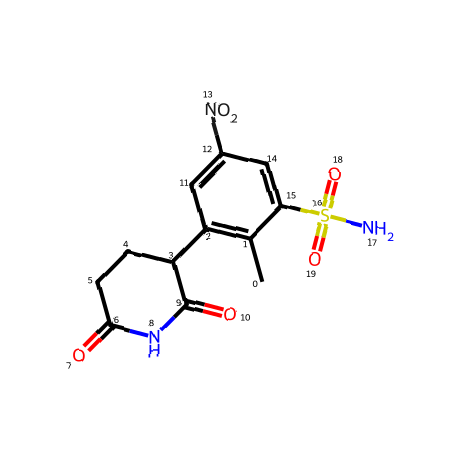 Cc1c(C2CCC(=O)NC2=O)cc([N+](=O)[O-])cc1S(N)(=O)=O